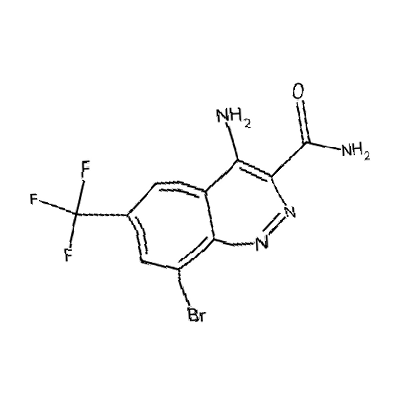 NC(=O)c1nnc2c(Br)cc(C(F)(F)F)cc2c1N